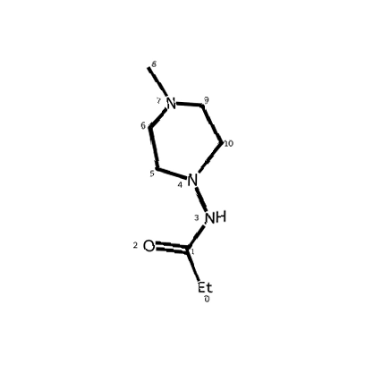 CCC(=O)NN1CCN(C)CC1